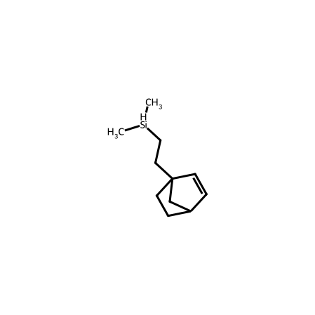 C[SiH](C)CCC12C=CC(CC1)C2